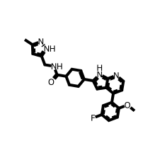 COc1ccc(F)cc1-c1ccnc2[nH]c(C3=CCC(C(=O)NCc4cc(C)n[nH]4)CC3)cc12